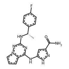 C[C@H](Nc1nc(Nc2cc(C(N)=O)n[nH]2)c2cccn2n1)c1ccc(F)cc1